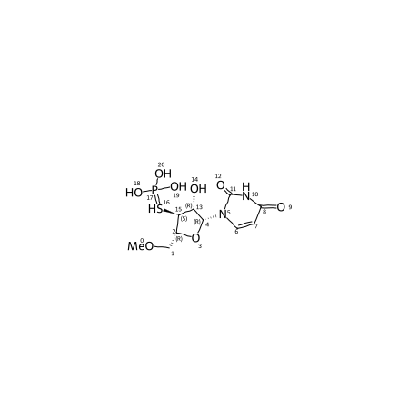 COC[C@H]1O[C@@H](n2ccc(=O)[nH]c2=O)[C@@H](O)[C@@H]1[SH]=P(O)(O)O